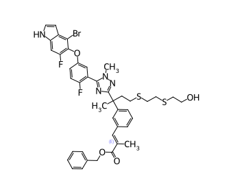 C/C(=C\c1cccc(C(C)(CCSCCSCCO)c2nc(-c3cc(Oc4c(F)cc5[nH]ccc5c4Br)ccc3F)n(C)n2)c1)C(=O)OCc1ccccc1